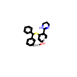 O=CO.c1ccc(C(Sc2ccccc2C2=NCCCN2)c2ccccc2)cc1